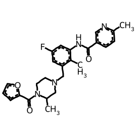 Cc1ccc(C(=O)Nc2cc(F)cc(CN3CCN(C(=O)c4ccco4)C(C)C3)c2C)cn1